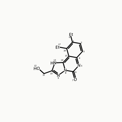 CCc1ccc2nc(=O)n3nc(CO)[nH]c3c2c1CC